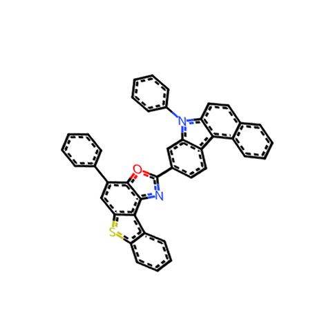 c1ccc(-c2cc3sc4ccccc4c3c3nc(-c4ccc5c6c7ccccc7ccc6n(-c6ccccc6)c5c4)oc23)cc1